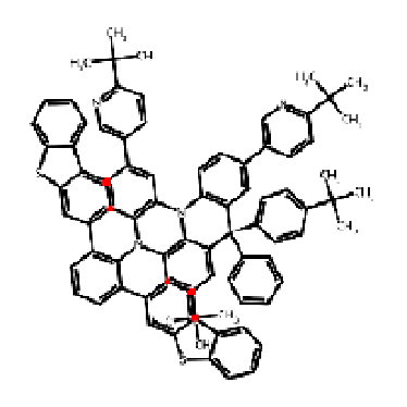 CC(C)(C)c1ccc([C@]2(c3ccccc3)c3cc(-c4ccc(C(C)(C)C)nc4)ccc3N3c4cc(-c5ccc(C(C)(C)C)nc5)ccc4N(c4c(-c5ccc6c(c5)sc5ccccc56)cccc4-c4ccc5c(c4)sc4ccccc45)c4cc([Si](C)(C)C)cc2c43)cc1